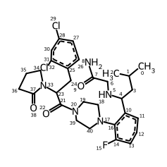 CC(C)CC(NCC(N)=O)c1cccc(F)c1N1CCN(C(=O)C(Cc2ccc(Cl)cc2Cl)N2CCCC2=O)CC1